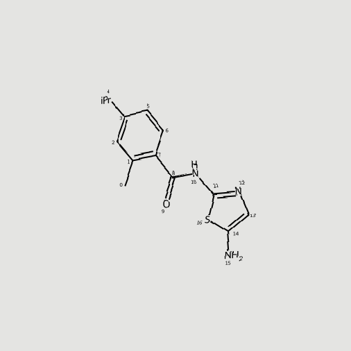 Cc1cc(C(C)C)ccc1C(=O)Nc1ncc(N)s1